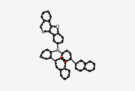 c1ccc(N(c2ccc(-c3ccc4ccccc4c3)cc2)c2ccc3oc4c5ccccc5cnc4c3c2)c(-c2ccc3ccccc3c2)c1